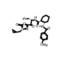 COc1ccc(C(=O)N[C@H]2CCCC[C@H]2C(=O)N[C@@H](CC(C)C)C(=O)c2nn(CC3CC3)c(=O)o2)cc1